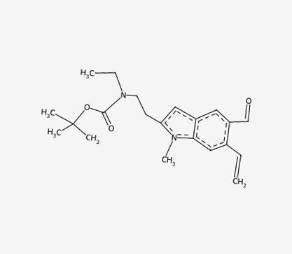 C=Cc1cc2c(cc1C=O)cc(CCN(CC)C(=O)OC(C)(C)C)n2C